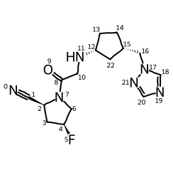 N#C[C@@H]1C[C@H](F)CN1C(=O)CN[C@@H]1CC[C@H](Cn2cncn2)C1